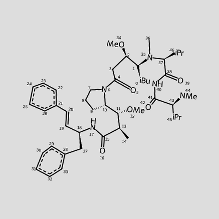 CC[C@H](C)[C@@H]([C@@H](CC(=O)N1CCC[C@H]1[C@H](OC)[C@@H](C)C(=O)N[C@H](/C=C/c1ccccc1)Cc1ccccc1)OC)N(C)[C@H](C(=O)NC(=O)[C@@H](NC)C(C)C)C(C)C